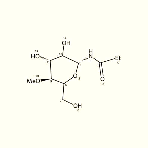 CCC(=O)N[C@@H]1OC(CO)[C@@H](OC)[C@H](O)C1O